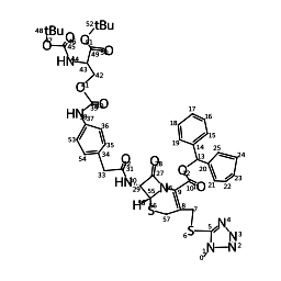 Cn1nnnc1SCC1=C(C(=O)OC(c2ccccc2)c2ccccc2)N2C(=O)[C@@H](NC(=O)Cc3ccc(NC(=O)OCC(NC(=O)OC(C)(C)C)C(=O)OC(C)(C)C)cc3)[C@H]2SC1